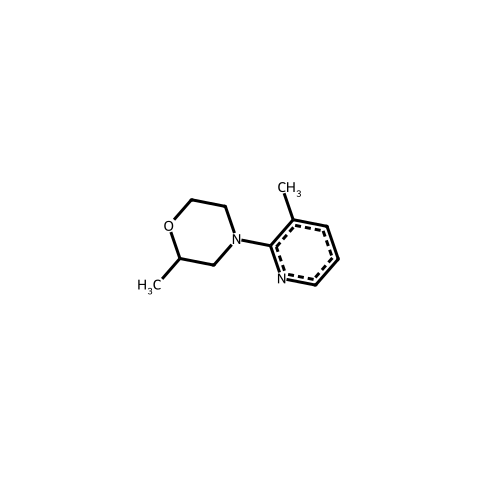 Cc1cccnc1N1CCOC(C)C1